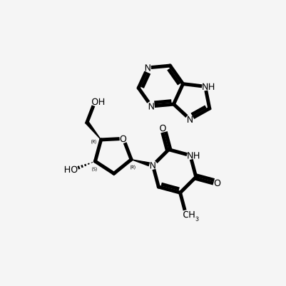 Cc1cn([C@H]2C[C@H](O)[C@@H](CO)O2)c(=O)[nH]c1=O.c1ncc2[nH]cnc2n1